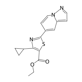 CCOC(=O)c1sc(-c2ccn3nccc3c2)nc1C1CC1